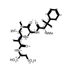 CN[C@H](C(=O)N[C@H](C(=O)N(C)[C@H](/C=C(\C)C(=O)N[C@@H](CS(=O)(=O)O)C(=O)O)C(C)C)C(C)(C)C)C(C)(C)C1C=CC=CC1